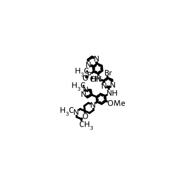 COc1cc(N2CCC3(CC2)CN(C)CC(C)O3)c(-c2cnn(C)c2)cc1Nc1ncc(Br)c(Nc2ccc3nccnc3c2P(C)(C)=O)n1